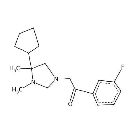 CN1CN(CC(=O)c2cccc(F)c2)CC1(C)C1CCCC1